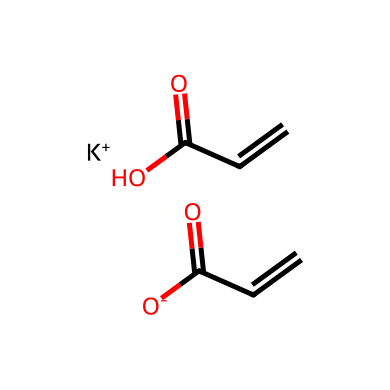 C=CC(=O)O.C=CC(=O)[O-].[K+]